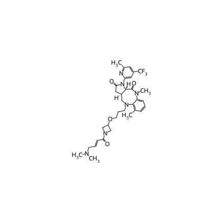 Cc1cc(C(F)(F)F)cc(N2C(=O)C[C@@H]3CN(CCCOC4CN(C(=O)/C=C/CN(C)C)C4)c4c(C)cccc4N(C)C(=O)[C@H]32)n1